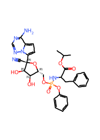 CC(C)OC(=O)C(Cc1ccccc1)NP(=O)(OC[C@H]1O[C@@](C#N)(c2ccc3c(N)ncnn23)[C@H](O)[C@@H]1O)Oc1ccccc1